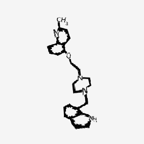 Cc1ccc2c(OCCN3CCN(Cc4cccc5cc[nH]c45)CC3)cccc2n1